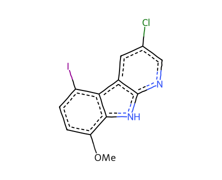 COc1ccc(I)c2c1[nH]c1ncc(Cl)cc12